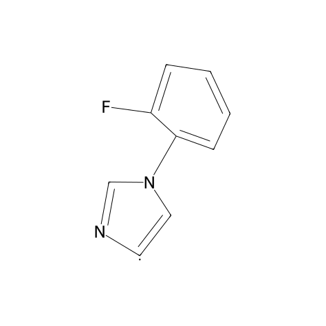 Fc1ccccc1-n1c[c]nc1